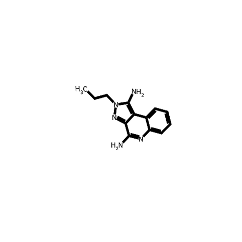 CCCn1nc2c(N)nc3ccccc3c2c1N